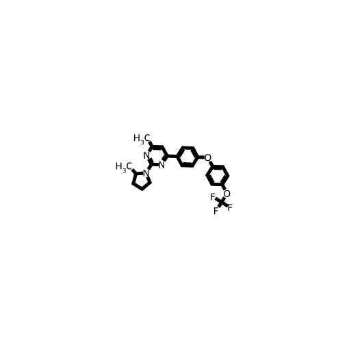 Cc1cc(-c2ccc(Oc3ccc(OC(F)(F)F)cc3)cc2)nc(N2CCCC2C)n1